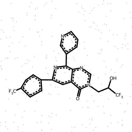 O=c1c2cc(-c3ccc(C(F)(F)F)cc3)nc(-c3cccnc3)c2ncn1CC(O)C(F)(F)F